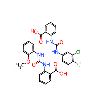 COc1ccccc1NC(=O)Nc1ccccc1C(=O)O.O=C(Nc1ccc(Cl)c(Cl)c1)Nc1ccccc1C(=O)O